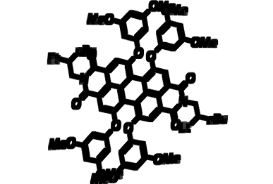 CCCCC(CC)CN1C(=O)c2cc(Oc3cc(OC)cc(OC)c3)c3c4c(Oc5cc(OC)cc(OC)c5)cc5c6c(cc(Oc7cc(OC)cc(OC)c7)c(c7c(Oc8cc(OC)cc(OC)c8)cc(c2c37)C1=O)c64)C(=O)N(CC(CC)CCCC)C5=O